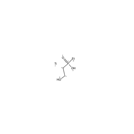 CCP(=O)(O)CCO.[Ti]